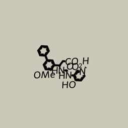 COc1ccc(-c2ccccc2)cc1C(CC(=O)O)NC(=O)Nc1c(O)ccn(C)c1=O